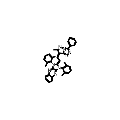 Cc1cccc(C)c1N1C(=C/C=c2/c(C)nn3c(-c4ccccc4)nnc23)N(c2c(C)cccc2C)c2nc3ccccc3nc21